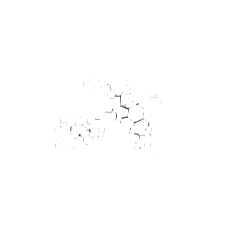 CCOC(=O)c1c2c(nn1CCO[Si](C)(C)C(C)(C)C)-c1nc(N)ncc1CC2(C)C